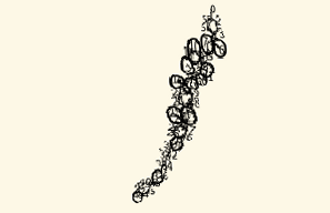 Cc1ccc(C(=O)OCC2OCOC3C(COC(=O)c4ccc(OC(=O)c5ccc(OCCCCCCOCC6CCC7OC7C6)cc5)cc4)OCOC23)cc1